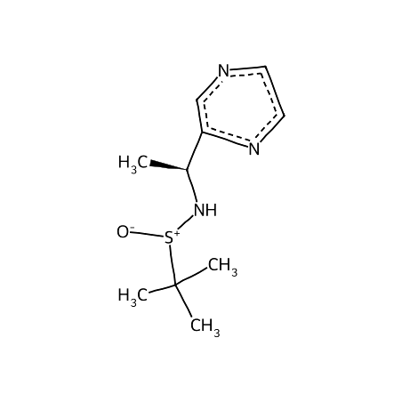 C[C@H](N[S+]([O-])C(C)(C)C)c1cnccn1